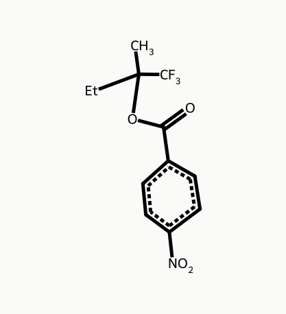 CCC(C)(OC(=O)c1ccc([N+](=O)[O-])cc1)C(F)(F)F